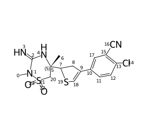 CN1C(=N)N[C@](C)(C2CC(c3ccc(Cl)c(C#N)c3)=CS2)CS1(=O)=O